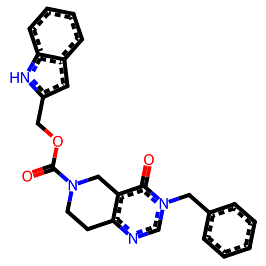 O=C(OCc1cc2ccccc2[nH]1)N1CCc2ncn(Cc3ccccc3)c(=O)c2C1